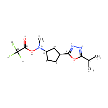 CC(C)c1nnc([C@H]2CC[C@@H](N(C)OC(=O)C(F)(F)F)C2)o1